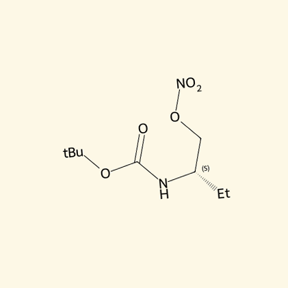 CC[C@@H](CO[N+](=O)[O-])NC(=O)OC(C)(C)C